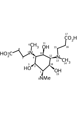 CN[C@H]1[C@@H](O)[C@@H](N(C)CCC(=O)O)[C@@H](O)[C@@H](N(C)CCC(=O)O)[C@H]1O